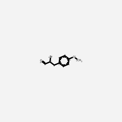 COc1ccc(CC(Br)C=O)cc1